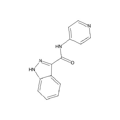 O=C(Nc1ccncc1)c1n[nH]c2ccccc12